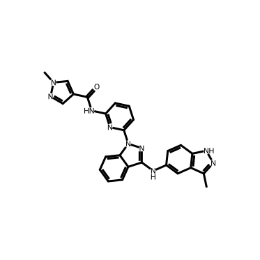 Cc1n[nH]c2ccc(Nc3nn(-c4cccc(NC(=O)c5cnn(C)c5)n4)c4ccccc34)cc12